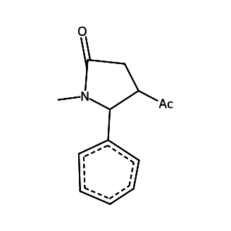 CC(=O)C1CC(=O)N(C)C1c1ccccc1